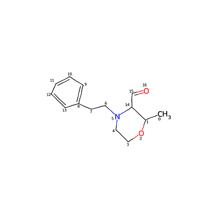 CC1OCCN(CCc2ccccc2)C1C=O